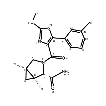 COc1nc(C(=O)N2C[C@@H]3C[C@@H]3[C@H]2C(N)=O)c(-c2cccc(C)c2)s1